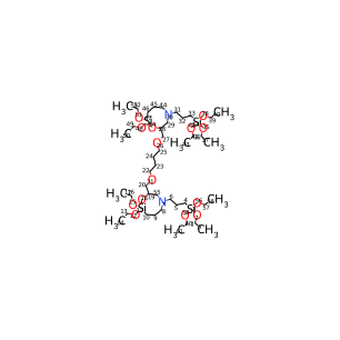 CCO[Si](CCCN1CCC[Si](OCC)(OCC)OC(COCCCCOCC2CN(CCC[Si](OCC)(OCC)OCC)CCC[Si](OCC)(OCC)O2)C1)(OCC)OCC